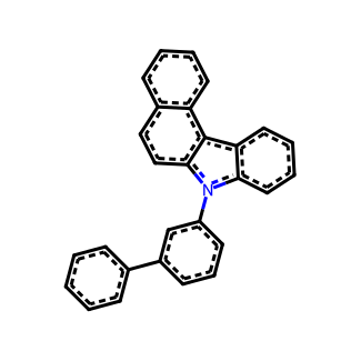 c1ccc(-c2cccc(-n3c4ccccc4c4c5ccccc5ccc43)c2)cc1